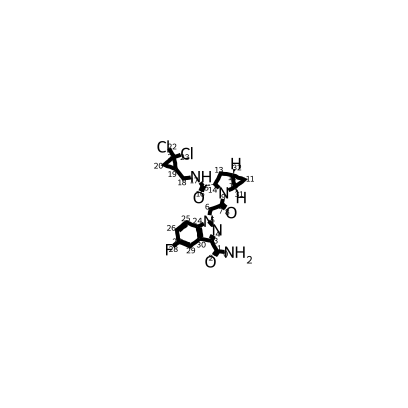 NC(=O)c1nn(CC(=O)N2[C@@H]3C[C@@H]3C[C@H]2C(=O)NCC2CC2(Cl)Cl)c2ccc(F)cc12